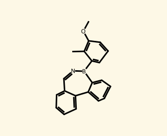 COc1cccc(B2N=Cc3ccccc3-c3ccccc32)c1C